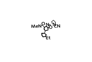 CCc1cccc(-c2cc(C(=O)NC)c3nc([C@@H]4CCCN4C#N)oc3c2)c1